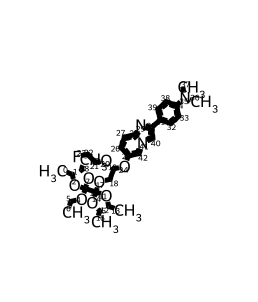 CCOC(OCC)(OCC)C(OCC)(OCC)OCC(OCCF)Oc1ccc2nc(-c3ccc(N(C)C)cc3)cn2c1